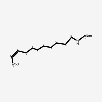 CCCCCCCC/C=C\CCCCCCCCNCCCCCCCCC